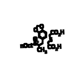 CCCCCCCC[S+]([O-])C(C)Cc1ccc2c(c1)OCO2.O=C(O)CSCC(=O)O